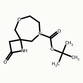 CC(C)(C)OC(=O)N1CCOCC2(CC(=O)N2)C1